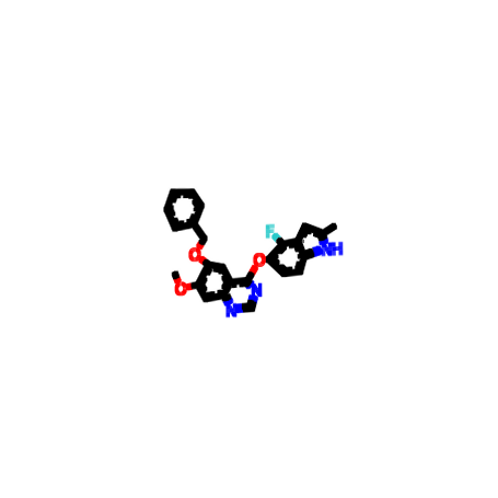 COc1cc2ncnc(Oc3ccc4[nH]c(C)cc4c3F)c2cc1OCc1ccccc1